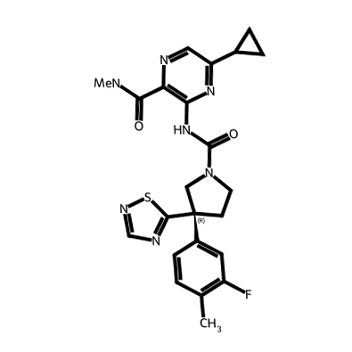 CNC(=O)c1ncc(C2CC2)nc1NC(=O)N1CC[C@](c2ccc(C)c(F)c2)(c2ncns2)C1